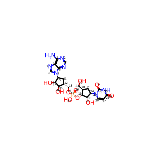 Nc1ncnc2c1ncn2[C@@H]1C[C@H](COP(=O)(O)O[C@@H]2[C@@H](CO)C[C@@H](n3ccc(=O)[nH]c3=O)[C@@H]2O)[C@@H](O)[C@H]1O